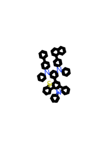 c1ccc(-c2ccc(N(c3ccccc3)c3cc(-c4cc5c6ccccc6n(-c6ccccc6)c5c5c4sc4ccccc45)cc(N(c4ccccc4)c4ccc(-c5cccc6ccccc56)cc4)c3)cc2)cc1